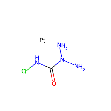 NN(N)C(=O)NCl.[Pt]